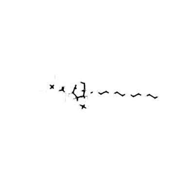 CC(C)(C)OC(=O)N[C@H]1[C@H]2OC[C@](COCCOCCOCCOCCO)(O2)[C@@H]2OC(C)(C)O[C@H]12